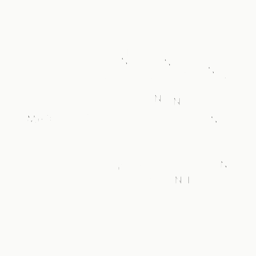 COc1ccc(Nc2nc(N)n(-c3cc(Nc4ccccc4)ncn3)n2)cc1